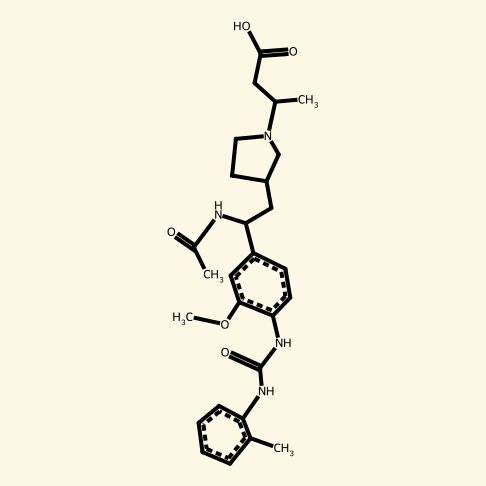 COc1cc(C(CC2CCN(C(C)CC(=O)O)C2)NC(C)=O)ccc1NC(=O)Nc1ccccc1C